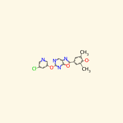 Cc1cc(-c2nc3cnc(Oc4cncc(Cl)c4)nc3o2)cc(C)c1[O]